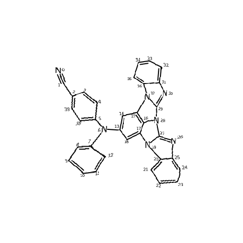 N#Cc1ccc(N(c2ccccc2)c2cc3c4c(c2)n2c5ccccc5nc2n4c2nc4ccccc4n32)cc1